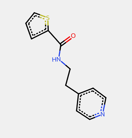 O=C(NCCc1ccncc1)c1cccs1